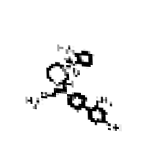 COCC1[C@@H](c2ccc(-c3ccc(O)cc3C)cc2)[C@@H]2CN(S(=O)(=O)c3ccccc3C)CCCCN12